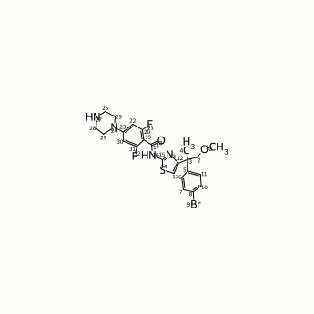 COCC(C)(c1ccc(Br)cc1)c1csc(NC(=O)c2c(F)cc(N3CCNCC3)cc2F)n1